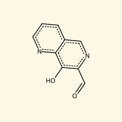 O=Cc1ncc2cccnc2c1O